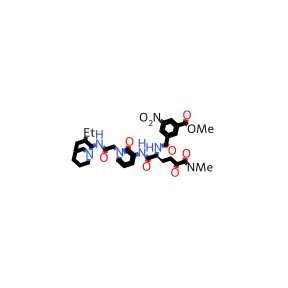 CCC1CC2CCCN(C2)C1NC(=O)Cn1cccc(NC(=O)[C@H](CCC(=O)C(=O)NC)NC(=O)c2cc(C(=O)OC)cc([N+](=O)[O-])c2)c1=O